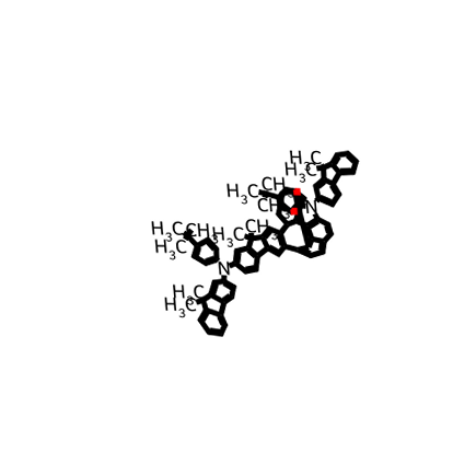 CC(C)(C)c1ccc(N(c2ccc3c(c2)C(C)(C)c2ccccc2-3)c2ccc3c(c2)C(C)(C)c2cc4c(cc2-3)-c2ccc3ccc(N(c5ccc(C(C)(C)C)cc5)c5ccc6c(c5)C(C)(C)c5ccccc5-6)c5c3c2C2CC3CC(C2)C5C4C3)cc1